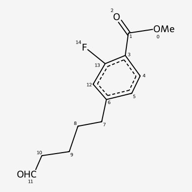 COC(=O)c1ccc(CCCCC=O)cc1F